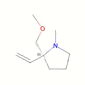 C=C[C@]1(COC)CCCN1C